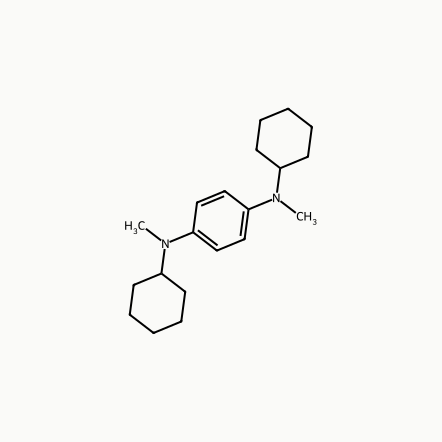 CN(c1ccc(N(C)C2CCCCC2)cc1)C1CCCCC1